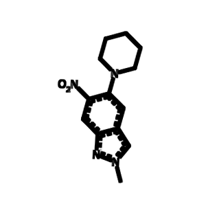 Cn1cc2cc(N3CCCCC3)c([N+](=O)[O-])cc2n1